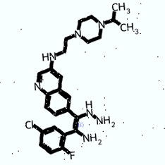 CC(C)N1CCN(CCNc2cnc3ccc(/C(NN)=C(/N)c4cc(Cl)ccc4F)cc3c2)CC1